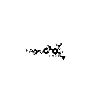 COc1cc(-c2cnc3cc(OCc4cnn(C)c4)ccn23)cc(OC(F)F)c1C(=O)NC1CC1